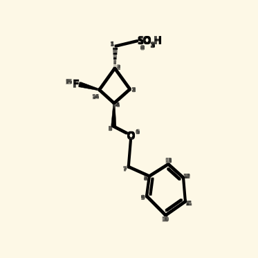 O=S(=O)(O)C[C@@H]1C[C@@H](COCc2ccccc2)[C@H]1F